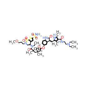 CCN(CC)CCNC(=O)c1c(C)[nH]c(/C=C2\C(=O)Nc3ccc(OC(=O)CC(C)(C)CC(C)(C)C(=O)N(CC)[C@H]4CN(CCCOC)S(=O)(=O)c5sc(S(N)(=O)=O)cc54)cc32)c1C